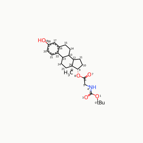 CC(C)(C)OC(=O)NCC(=O)O[C@H]1CCC2C3CCc4cc(O)ccc4C3CC[C@@]21C